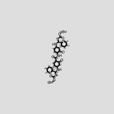 CC(C)(C)OC(=O)/N=C(/Nc1ccc(NC(=O)c2ccc(N/C(=N/C(=O)OC(C)(C)C)c3ccccn3)cc2Cl)c(Cl)c1)c1ccccn1